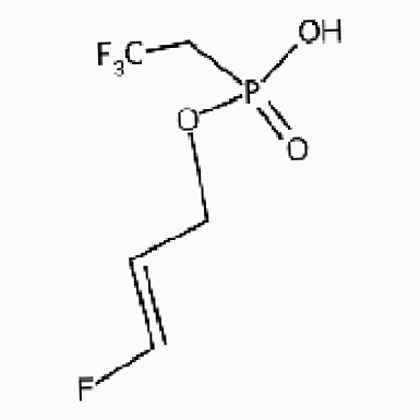 O=P(O)(CC(F)(F)F)OCC=CF